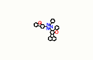 c1ccc(-c2nc(-c3ccc4c(c3)oc3ccccc34)nc(-c3cc4c(c5oc6ccccc6c35)-c3cccc5cccc-4c35)n2)cc1